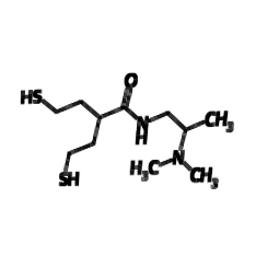 CC(CNC(=O)C(CCS)CCS)N(C)C